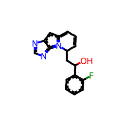 OC(CC1C=CC=c2cc3c(n21)=NC=N3)c1ccccc1F